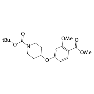 COC(=O)c1ccc(OC2CCN(C(=O)OC(C)(C)C)CC2)cc1OC